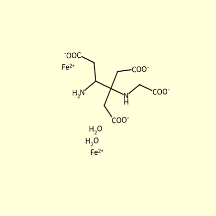 NC(CC(=O)[O-])C(CC(=O)[O-])(CC(=O)[O-])NCC(=O)[O-].O.O.[Fe+2].[Fe+2]